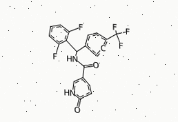 O=C(NC(c1ccc(C(F)(F)F)cc1)c1c(F)cccc1F)c1ccc(=O)[nH]c1